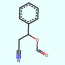 N#CCC(O[C]=O)c1ccccc1